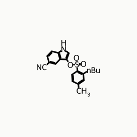 CCCCc1cc(C)ccc1S(=O)(=O)Oc1c[nH]c2ccc(C#N)cc12